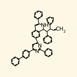 C=CC(c1ccccc1)C(c1ccccc1)C1NC(c2ccccc2)=Cc2ccc(-c3cc(-c4ccc(-c5ccccc5)cc4)nc(-c4ccccc4)n3)cc21